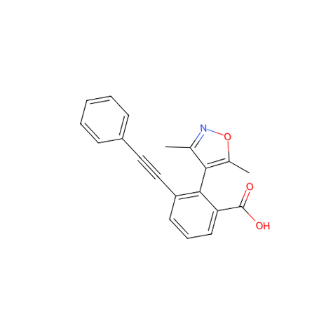 Cc1noc(C)c1-c1c(C#Cc2ccccc2)cccc1C(=O)O